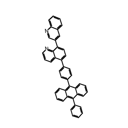 c1ccc(-c2c3ccccc3c(-c3ccc(-c4ccc(-c5cnc6ccccc6c5)c5ncccc45)cc3)c3ccccc23)cc1